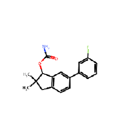 CC1(C)Cc2ccc(-c3cccc(F)c3)cc2C1OC(N)=O